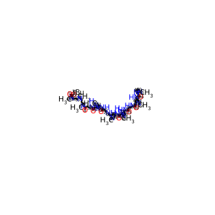 CN(CCCN(C)C(=O)CCNC(=O)c1nc(NC(=O)CCNCc2cc(NC(=O)c3nc(NC(=O)CCNC(=O)c4cc(NC(=O)c5nccn5C)cn4C)cn3C)cn2C)cn1C)CCCN(C)C(=O)OC(C)(C)C